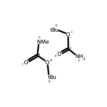 CC(C)(C)OC(N)=O.CNC(=O)OC(C)(C)C